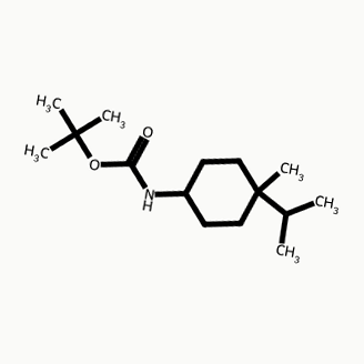 CC(C)C1(C)CCC(NC(=O)OC(C)(C)C)CC1